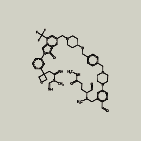 CNC(=O)CCC(C=O)N(C)Cc1cc(N2CCN(Cc3ccc(COC4CCN(Cc5cc(C(F)(F)F)c6cn(-c7cccc(C8(CC(=N)N(C)C=N)COC8)c7)c(=O)n6c5)CC4)cc3)CC2)ccc1C=O